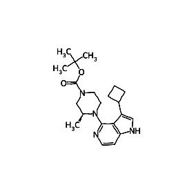 C[C@H]1CN(C(=O)OC(C)(C)C)CCN1c1nccc2[nH]cc(C3CCC3)c12